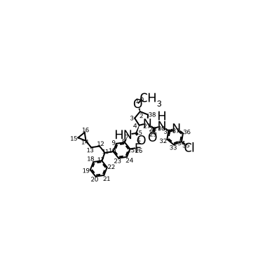 CO[C@@H]1C[C@H](C(=O)Nc2cc(C(CCC3CC3)c3ccccc3)ccc2F)N(C(=O)Nc2ccc(Cl)cn2)C1